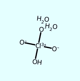 O.O.[O-][Cl+3]([O-])([O-])O